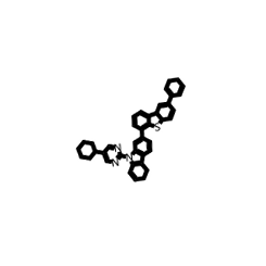 C1=CC(C2=CC3c4cccc(-c5ccc6c7c(n(-c8ncc(C9CCCCC9)cn8)c6c5)C=CCC7)c4SC3C=C2)=CCC1